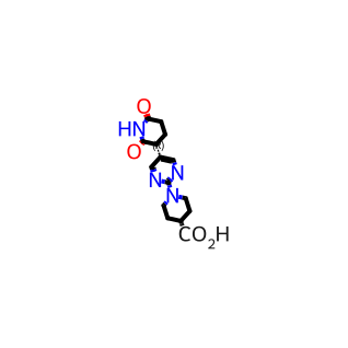 O=C1CC[C@H](c2cnc(N3CCC(C(=O)O)CC3)nc2)C(=O)N1